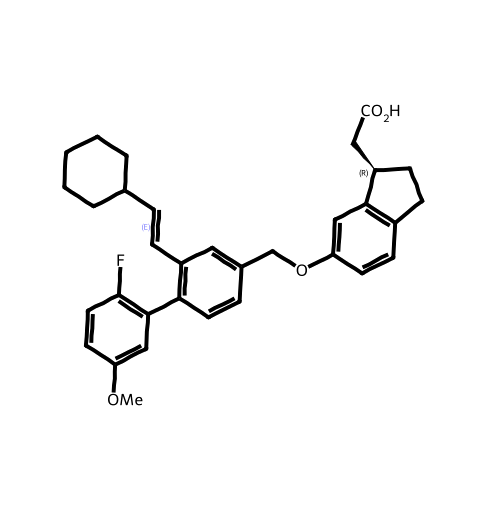 COc1ccc(F)c(-c2ccc(COc3ccc4c(c3)[C@@H](CC(=O)O)CC4)cc2/C=C/C2CCCCC2)c1